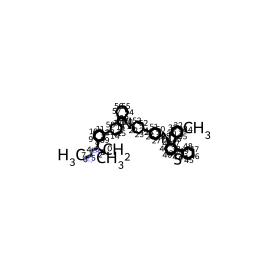 C=C(C)/C(=C\C=C/C)c1cccc(C2C=Cc3c(c4c(n3C3=CCC(c5ccc(-n6c7ccc(C)cc7c7c8c(ccc76)sc6ccccc68)cc5)C=C3)C=CCC4)C2)c1